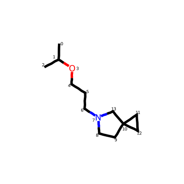 CC(C)OCCCN1CCC2(CC2)C1